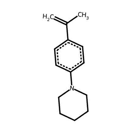 C=C(C)c1ccc(N2CCCCC2)cc1